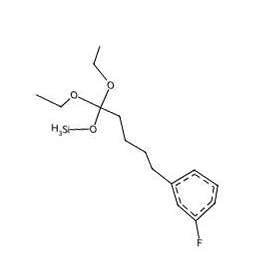 CCOC(CCCCc1cccc(F)c1)(O[SiH3])OCC